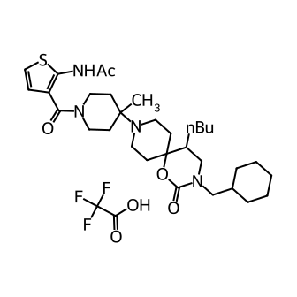 CCCCC1CN(CC2CCCCC2)C(=O)OC12CCN(C1(C)CCN(C(=O)c3ccsc3NC(C)=O)CC1)CC2.O=C(O)C(F)(F)F